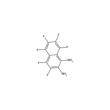 Nc1c(F)c(F)c2c(F)c(F)c(F)c(F)c2c1N